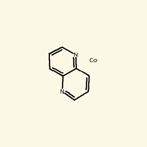 [Co].c1cnc2cccnc2c1